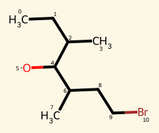 CCC(C)C([O])C(C)CCBr